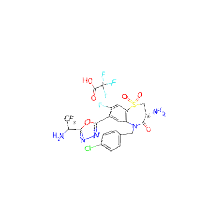 NC(c1nnc(-c2cc3c(cc2F)S(=O)(=O)C[C@H](N)C(=O)N3Cc2ccc(Cl)cc2)o1)C(F)(F)F.O=C(O)C(F)(F)F